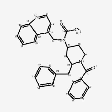 O=C(c1ccccc1)N1CCC(N(Cc2ccnc3ccccc23)C(=O)C(F)(F)F)CC1Cc1ccccc1